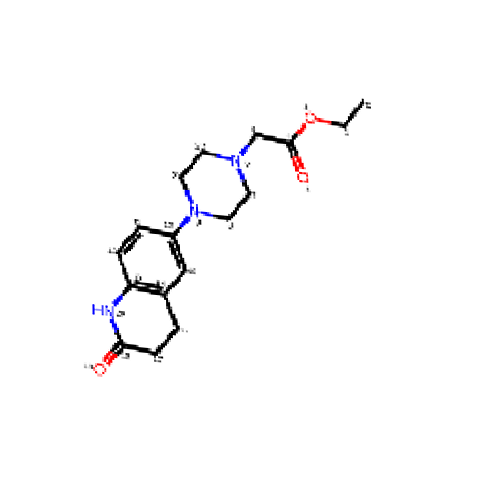 CCOC(=O)CN1CCN(c2ccc3c(c2)CCC(=O)N3)CC1